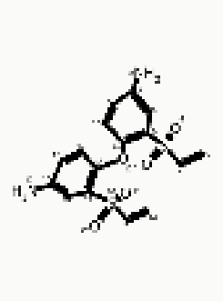 C=CS(=O)(=O)c1cc(N)ccc1Oc1ccc(N)cc1S(=O)(=O)C=C